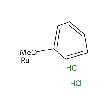 COc1ccccc1.Cl.Cl.[Ru]